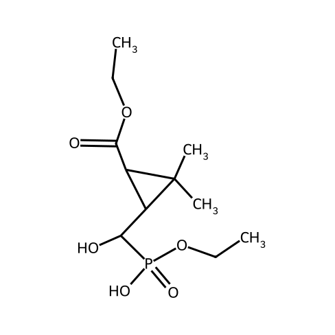 CCOC(=O)C1C(C(O)P(=O)(O)OCC)C1(C)C